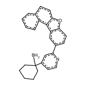 BC1(c2ccnc(-c3ccc4oc5ccc6ccccc6c5c4c3)c2)CCCCC1